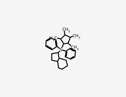 CC1C(C)C(C)C(S(c2ccccc2)(c2ccccc2)C2CCC3CCCCC32)C1C